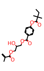 C=C(C)C(=O)OCC(O)COC(=O)c1ccc(OC(=O)C(C)(C)CC)cc1